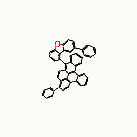 c1ccc(-c2ccc(-c3ccccc3-c3c4ccccc4c(-c4cccc5oc6ccc(-c7ccccc7)cc6c45)c4ccccc34)cc2)cc1